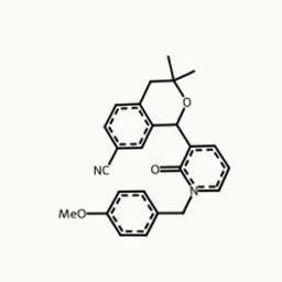 COc1ccc(Cn2cccc(C3OC(C)(C)Cc4ccc(C#N)cc43)c2=O)cc1